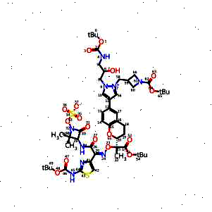 CC(C)(C)OC(=O)NCC(O)Cn1cc(-c2ccc3c(c2)CC[C@H](C(C)(O/N=C(\C(=O)N[C@@H]2C(=O)N(OS(=O)(=O)[O-])C2(C)C)c2csc(NC(=O)OC(C)(C)C)n2)C(=O)OC(C)(C)C)O3)c[n+]1CC1CN(C(=O)OC(C)(C)C)C1